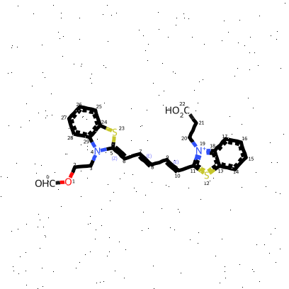 O=COCCN1/C(=C/C=C/C=C/c2sc3ccccc3[n+]2CCC(=O)O)Sc2ccccc21